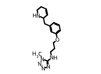 Cn1nnnc1NCCCOc1cccc(CC2C=CCCN2)c1